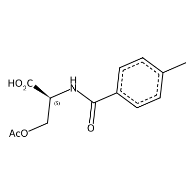 CC(=O)OC[C@H](NC(=O)c1ccc(C)cc1)C(=O)O